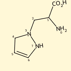 NC(CN1CC=CN1)C(=O)O